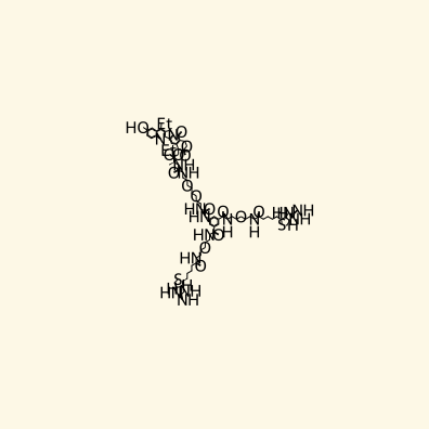 CCc1c2c(nc3ccc(O)cc13)-c1cc3c(c(=O)n1C2)COC(=O)[C@@]3(CC)OC(=O)[C@H](C)NC(=O)NCCOCCOCCNC(=O)Nc1cc(C(=O)NCCOCCNC(=O)CCCC[C@@H]2SC[C@@H]3NC(=N)N[C@@H]32)cc(C(=O)NCCOCCNC(=O)CCCC[C@@H]2SC[C@@H]3NC(=N)N[C@@H]32)c1